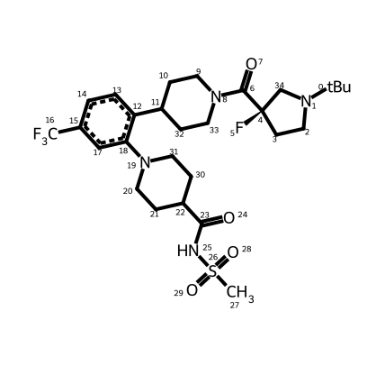 CC(C)(C)N1CC[C@](F)(C(=O)N2CCC(c3ccc(C(F)(F)F)cc3N3CCC(C(=O)NS(C)(=O)=O)CC3)CC2)C1